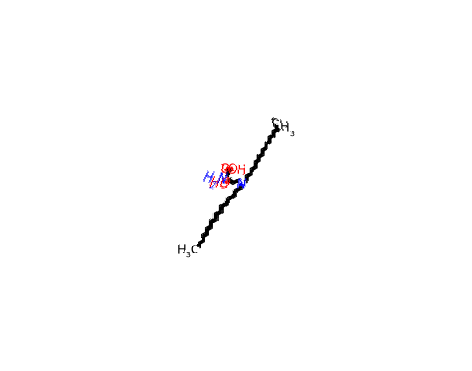 CCCCCCCCCCCCCCCCCCN(CCCO)CCCCCCCCCCCCCCCCCC.NCC(=O)O